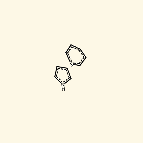 c1cc[nH]c1.c1cc[s+]cc1